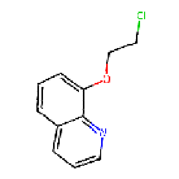 ClCCOc1cccc2cccnc12